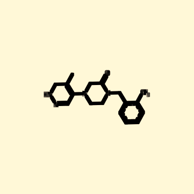 CC1=C(N2CCN(Cc3ccccc3C(F)(F)F)C(=O)C2)C=NNC1